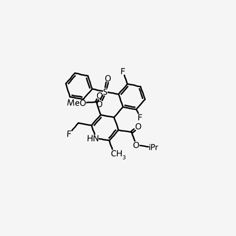 COC(=O)C1=C(CF)NC(C)=C(C(=O)OC(C)C)C1c1c(F)ccc(F)c1S(=O)(=O)c1ccccc1